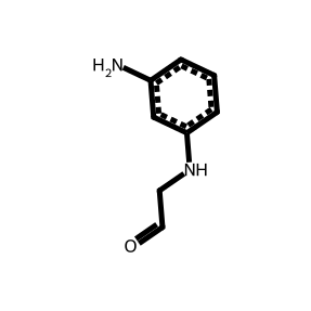 Nc1cccc(NCC=O)c1